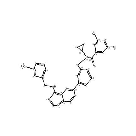 Cc1cccc(CNc2ncnc3ccc(-c4cccc(CN(C(=O)c5cc(Cl)cc(Cl)c5)C5CC5)c4)cc23)c1